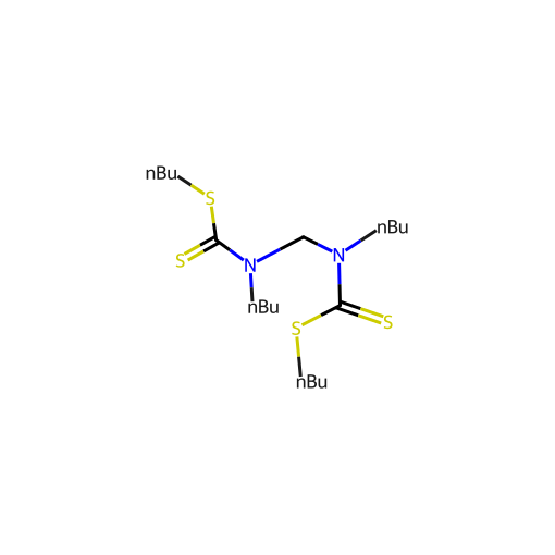 CCCCSC(=S)N(CCCC)CN(CCCC)C(=S)SCCCC